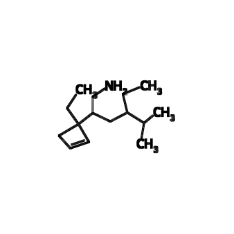 CCC(CC(CN)C1(CC)C=CC1)C(C)C